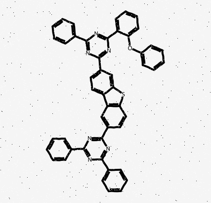 c1ccc(Oc2ccccc2-c2nc(-c3ccccc3)nc(-c3ccc4c(c3)sc3ccc(-c5nc(-c6ccccc6)nc(-c6ccccc6)n5)cc34)n2)cc1